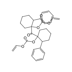 C=COC(=O)OC1(C(=O)C2(OC(=O)OC=C)CCCCC2c2ccccc2)CCCCC1c1ccccc1